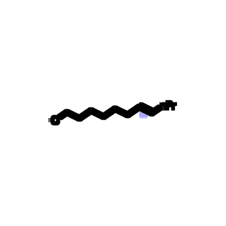 CCC/C=C/CCCCCC[O]